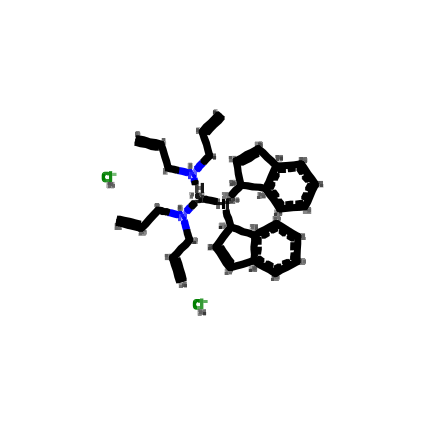 C=CCN(CC=C)[SiH](N(CC=C)CC=C)[Hf+2]([CH]1C=Cc2ccccc21)[CH]1C=Cc2ccccc21.[Cl-].[Cl-]